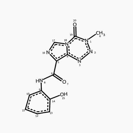 Cn1nnc2c(C(=O)Nc3ccccc3O)ncn2c1=O